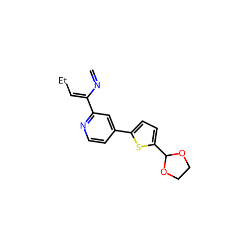 C=N/C(=C\CC)c1cc(-c2ccc(C3OCCO3)s2)ccn1